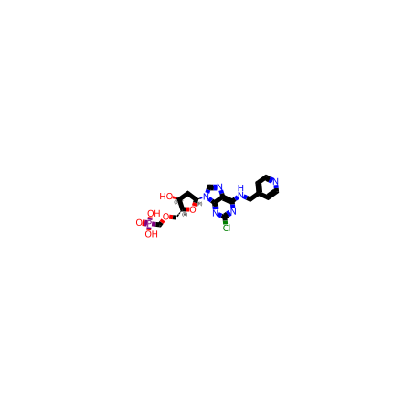 O=P(O)(O)COC[C@H]1O[C@@H](n2cnc3c(NCc4ccncc4)nc(Cl)nc32)C[C@@H]1O